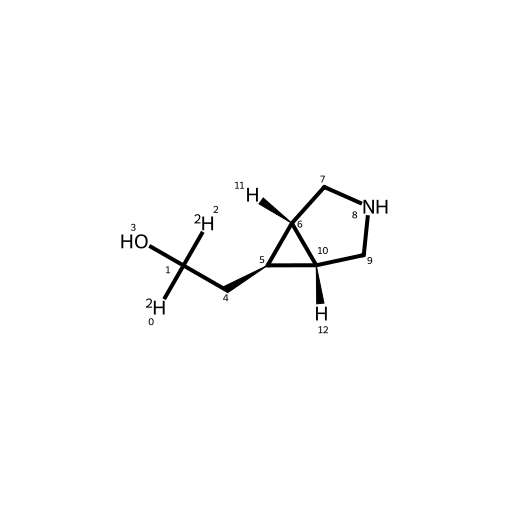 [2H]C([2H])(O)C[C@H]1[C@@H]2CNC[C@@H]21